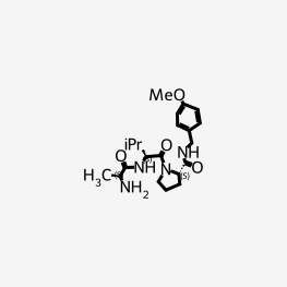 COc1ccc(CNC(=O)[C@@H]2CCCN2C(=O)[C@@H](NC(=O)[C@H](C)N)C(C)C)cc1